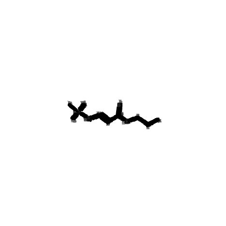 CCCOC(=O)C=CO[Si](C)(C)C